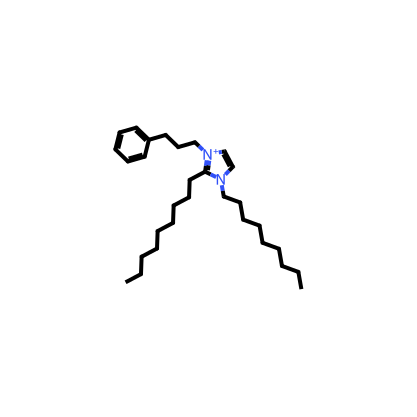 CCCCCCCCCc1n(CCCCCCCCC)cc[n+]1CCCc1ccccc1